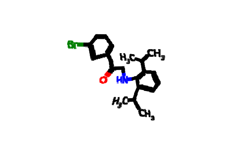 CC(C)c1cccc(C(C)C)c1NCC(=O)c1cccc(Br)c1